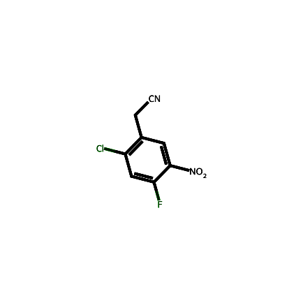 N#CCc1cc([N+](=O)[O-])c(F)cc1Cl